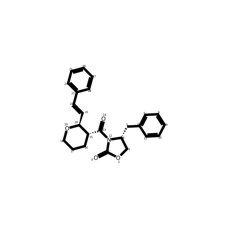 O=C1OC[C@@H](Cc2ccccc2)N1C(=O)[C@@H]1CCCO[C@H]1C=Cc1ccccc1